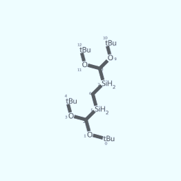 CC(C)(C)OC(OC(C)(C)C)[SiH2]C[SiH2]C(OC(C)(C)C)OC(C)(C)C